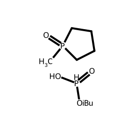 CC(C)CO[PH](=O)O.CP1(=O)CCCC1